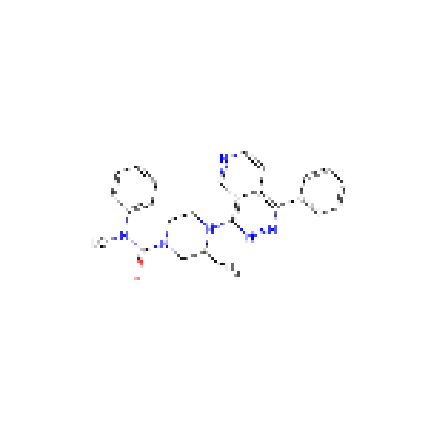 CC1CN(C(=O)N(C)c2ccccc2)CCN1c1nnc(-c2ccccc2)c2ccncc12